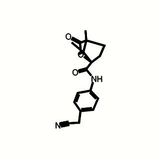 CC12CCC(C(=O)Nc3ccc(CC#N)cc3)(OC1=O)C2(C)C